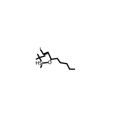 CCCCCC(C=CI)O[SiH](C)C(C)(C)C